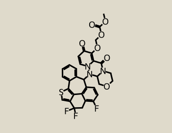 COC(=O)OCOc1c2n(ccc1=O)N(C1c3ccccc3-c3scc4c3-c3c1ccc(F)c3CC4(F)F)C1COCCN1C2=O